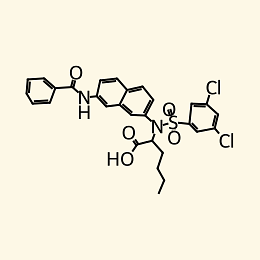 CCCCC(C(=O)O)N(c1ccc2ccc(NC(=O)c3ccccc3)cc2c1)S(=O)(=O)c1cc(Cl)cc(Cl)c1